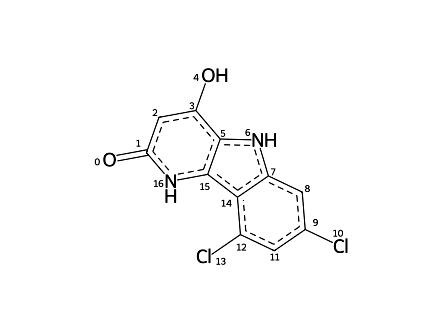 O=c1cc(O)c2[nH]c3cc(Cl)cc(Cl)c3c2[nH]1